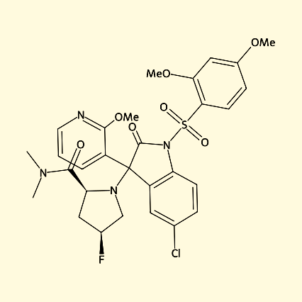 COc1ccc(S(=O)(=O)N2C(=O)C(c3cccnc3OC)(N3C[C@@H](F)C[C@H]3C(=O)N(C)C)c3cc(Cl)ccc32)c(OC)c1